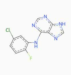 Fc1ccc(Cl)cc1Nc1ncnc2[nH]cnc12